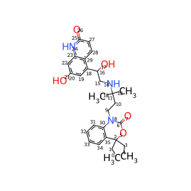 CCC1(CC)OC(=O)N(CCC(C)(C)NCC(O)c2cc(O)cc3[nH]c(=O)ccc23)c2ccccc21